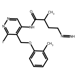 Cc1ccccc1OCc1c(NC(=O)C(C)CCN=N)cnnc1I